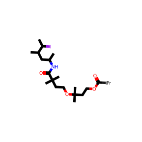 CC(CC(C)C(C)I)NC(=O)C(C)(C)CCOC(C)(C)CCOC(=O)C(C)C